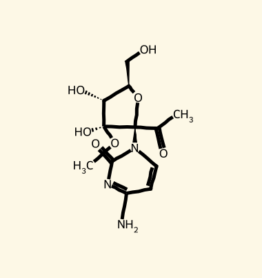 CO[C@@]1(O)[C@H](O)[C@@H](CO)O[C@@]1(C(C)=O)n1ccc(N)nc1=O